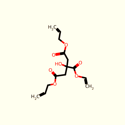 C=CCOC(=O)CC(O)(CC(=O)OCC=C)C(=O)OC=C